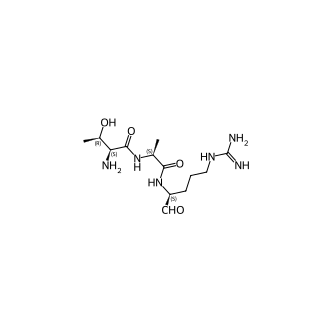 C[C@H](NC(=O)[C@@H](N)[C@@H](C)O)C(=O)N[C@H](C=O)CCCNC(=N)N